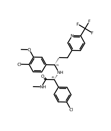 CNC(=O)[C@H](N[C@@H](CCc1ccc(C(F)(F)F)nc1)c1ccc(Cl)c(OC)c1)c1ccc(Cl)cc1